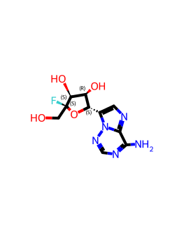 Nc1ncnn2c([C@@H]3O[C@](F)(CO)[C@@H](O)[C@H]3O)cnc12